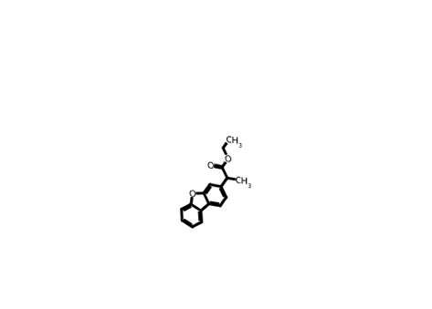 CCOC(=O)C(C)c1ccc2c(c1)oc1ccccc12